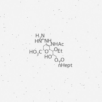 CCCCCCCC(=O)OCC(O)C(OCC)C1O[C@H](C(=O)O)CC(NC(=N)N)=C1NC(C)=O